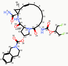 NC(=O)[C@@]12C[C@H]1/C=C\CCCCC[C@H](NC(=O)OC(CF)CF)C(=O)N1C[C@H](OC(=O)N3CCc4ccccc4C3)C[C@H]1C(=O)N2